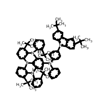 CC(C)(C)c1ccc2c(c1)c1cc(C(C)(C)C)ccc1n2-c1ccc(N(c2ccccc2)c2cc3c4c(c2)N(c2ccccc2C(C)(C)C)c2c(cccc2C(C)(C)C)B4c2cccc(C(C)(C)C)c2N3c2ccccc2C(C)(C)C)cc1